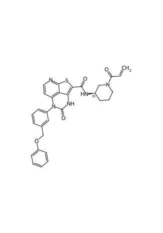 C=CC(=O)N1CCC[C@@H](NC(=O)c2sc3nccc4c3c2NC(=O)N4c2cccc(COc3ccccc3)c2)C1